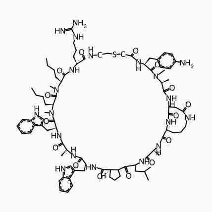 CCCC[C@H]1C(=O)N(C)[C@@H](CCCC)C(=O)N[C@@H](CCCNC(=N)N)C(=O)NCCSCC(=O)N[C@@H](Cc2ccc(N)cc2)C(=O)N(C)[C@@H](C)C(=O)N[C@H]2CC(=O)NCCCC(NC2=O)C(=O)N[C@@H](C)C(=O)N[C@@H](CC(C)C)C(=O)C2CCC[C@H]2C(=O)N[C@@H](Cc2c[nH]c3ccccc23)C(=O)N[C@@H](C)C(=O)N[C@@H](Cc2c[nH]c3ccccc23)C(=O)N1C